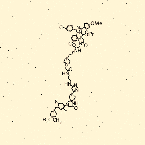 COc1ccc(C2=N[C@@H](c3ccc(Cl)cc3)[C@@H](c3ccc(Cl)cc3)N2C(=O)N2CCN(CC(=O)NCCCN3CCN(CC(=O)NCCCNc4cc(N5CCC6(CC5)CN(c5cc(F)c(CN7CCC(C)(C)CC7)cc5F)CC(=O)N6)ncn4)CC3)C(=O)C2)c(OC(C)C)c1